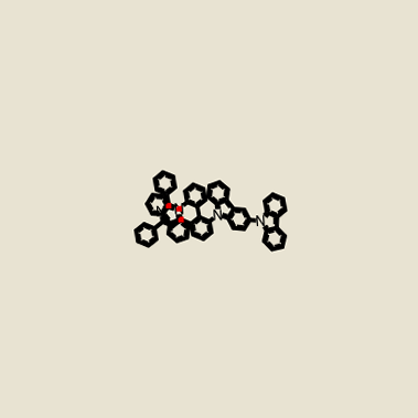 c1ccc(-c2cc(-c3cccc(-n4c5ccccc5c5cc(-n6c7ccccc7c7ccccc76)ccc54)c3-c3ccccc3-n3c4ccccc4c4ccccc43)nc(-c3ccccc3)n2)cc1